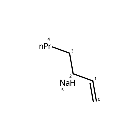 C=CCCCCC.[NaH]